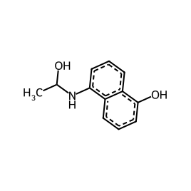 CC(O)Nc1cccc2c(O)cccc12